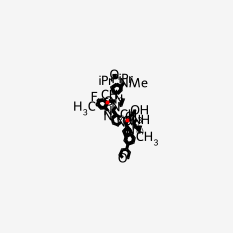 CNc1cc(-n2ccn(-c3c4c(nn3-c3cc(C)c(F)c(C)c3)CCN(C(=O)c3cc5cc(C6CCOCC6)ccc5n3[C@@]3(C5=NOC(O)N5)C[C@@H]3C)[C@H]4C)c2=O)ccc1P(=O)(C(C)C)C(C)C